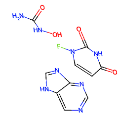 NC(=O)NO.O=c1ccn(F)c(=O)[nH]1.c1ncc2[nH]cnc2n1